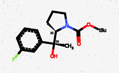 CC(C)(C)OC(=O)N1CCC[C@H]1[C@](C)(O)c1cccc(F)c1